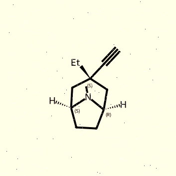 C#C[C@]1(CC)C[C@H]2CC[C@@H](C1)N2C